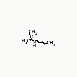 CCCCCNC(C)OCC